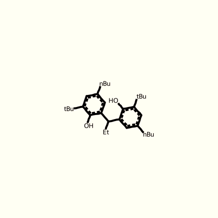 CCCCc1cc(C(CC)c2cc(CCCC)cc(C(C)(C)C)c2O)c(O)c(C(C)(C)C)c1